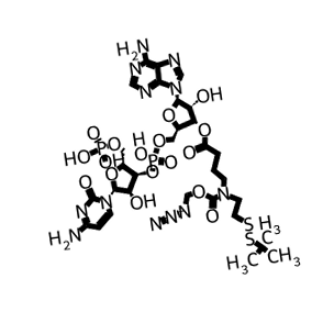 CC(C)(C)SSCCN(CCCC(=O)O[C@H]1[C@@H](O)[C@H](n2cnc3c(N)ncnc32)O[C@@H]1COP(=O)(O)O[C@H]1[C@@H](O)[C@H](n2ccc(N)nc2=O)O[C@@H]1COP(=O)(O)O)C(=O)OCN=[N+]=[N-]